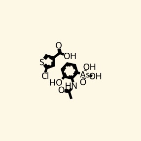 CC(=O)Nc1c(O)cccc1[As](=O)(O)O.O=C(O)c1csc(Cl)c1